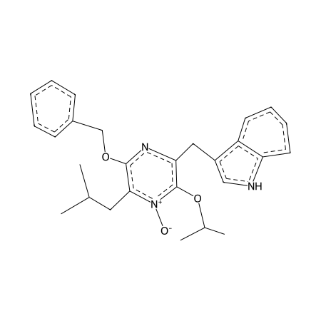 CC(C)Cc1c(OCc2ccccc2)nc(Cc2c[nH]c3ccccc23)c(OC(C)C)[n+]1[O-]